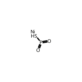 O=P(=O)S.[Ni]